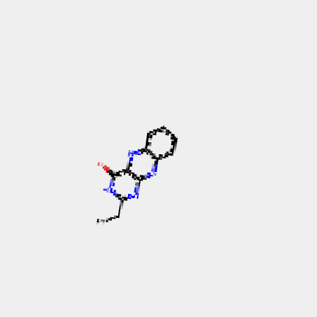 CC(C)Cc1nc2nc3ccccc3nc2c(=O)[nH]1